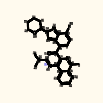 Cc1nc(C(=O)c2ccc(F)c3nn(C4CCCCO4)cc23)c(/N=C/N(C)C)c2cccnc12